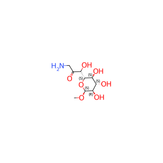 CO[C@H]1O[C@H](C(O)C(=O)CN)[C@@H](O)[C@H](O)[C@H]1O